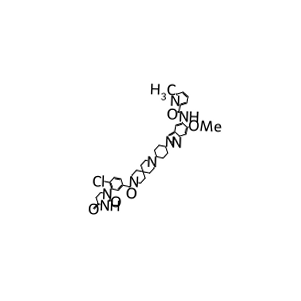 COc1cc2nn(C3CCC(N4CCC5(CCN(C(=O)c6ccc(Cl)c(N7CCC(=O)NC7=O)c6)CC5)CC4)CC3)cc2cc1NC(=O)c1cccc(C)n1